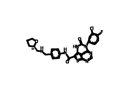 O=C(Nc1ccc(CNC[C@H]2CCCO2)cc1)c1sc2ncnc3c2c1NC(=O)N3c1ccc(F)c(Cl)c1